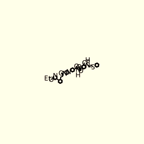 CCOc1cncc(-c2ccccc2CCC(=O)N2CCN(c3ccc(C(=O)NS(=O)(=O)c4ccc(NCCSc5ccccc5)c(C(F)(F)F)c4)cc3)CC2)c1